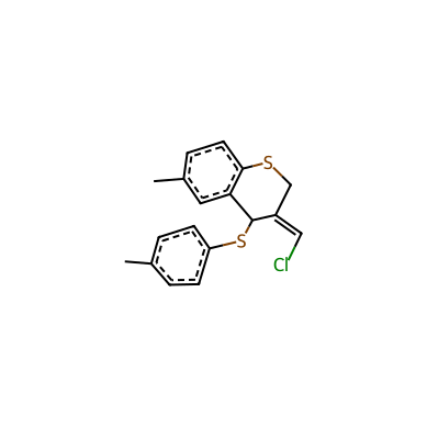 Cc1ccc(SC2C(=CCl)CSc3ccc(C)cc32)cc1